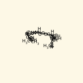 Cc1cc(C)c(CNC(=O)c2cc(-c3ccc(N4CCN(CCNC(=O)CCOCCOCCOCCC(=O)NC(C(=O)N5C[C@H](O)C[C@H]5C(=O)NCc5ccc(-c6scnc6C)cc5)C(C)(C)C)CC4)nc3)cc3c2cnn3C(C)C)c(=O)[nH]1